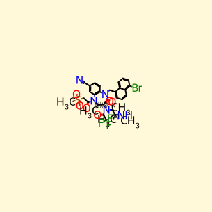 CN[C@@H](C)CN(C(=O)C(F)(F)F)[C@@H]1C(=O)N(Cc2c(OC)ccc3c(Br)cccc23)c2ccc(C#N)cc2N(C(=O)CS(C)(=O)=O)[C@H]1C